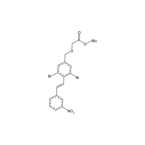 CC(C)(C)OC(=O)COCc1cc(Br)c(C=Cc2cccc([N+](=O)[O-])c2)c(Br)c1